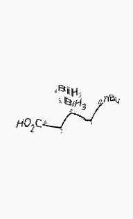 CCCCCCCC(=O)O.[BiH3].[BiH3]